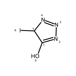 OC1=NN=NC1I